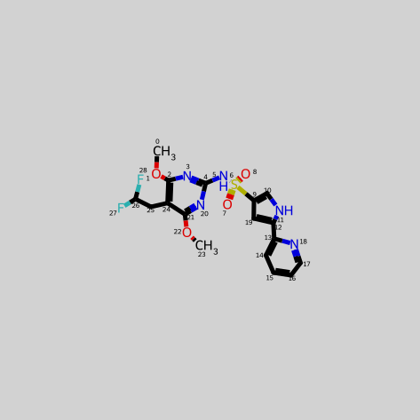 COc1nc(NS(=O)(=O)c2c[nH]c(-c3ccccn3)c2)nc(OC)c1CC(F)F